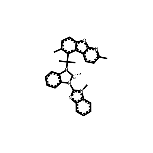 Cc1ccc2c(n1)oc1ccc(C)c(C(C)(C)N3c4ccccc4N(c4nc5ccccc5n4C)[C@H]3C)c12